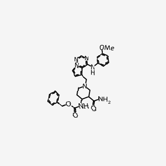 COc1cccc(Nc2ncnn3ccc(CN4CCC(NC(=O)OCc5ccccc5)C(C(N)=O)C4)c23)c1